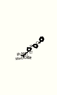 COC(OC)C(N)(CCCc1ccc(Sc2cccc(OCc3ccccc3)c2)cc1Cl)CC(C)C